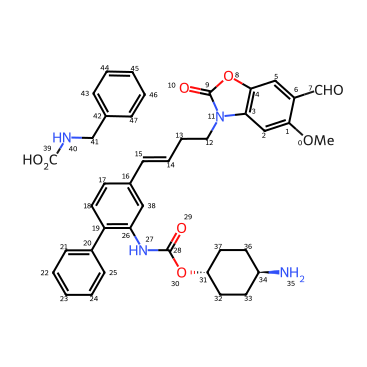 COc1cc2c(cc1C=O)oc(=O)n2CCC=Cc1ccc(-c2ccccc2)c(NC(=O)O[C@H]2CC[C@H](N)CC2)c1.O=C(O)NCc1ccccc1